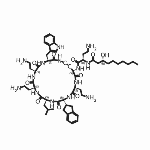 CCCCCCC[C@@H](O)CC(=O)N[C@H](CCN)C(=O)N[C@H]1CCNC(=O)[C@H](Cc2c[nH]c3ccccc23)NC(=O)[C@H](CCN)NC(=O)[C@H](CCN)NC(=O)[C@H](CC(C)C)NC(=O)[C@@H](C2Cc3ccccc3C2)NC(=O)[C@H](CCN)NC1=O